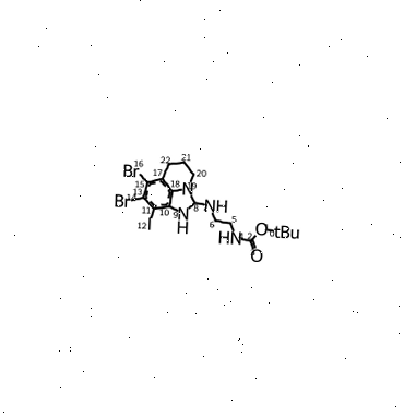 CC(C)(C)OC(=O)NCCNC1Nc2c(I)c(Br)c(Br)c3c2N1CCC3